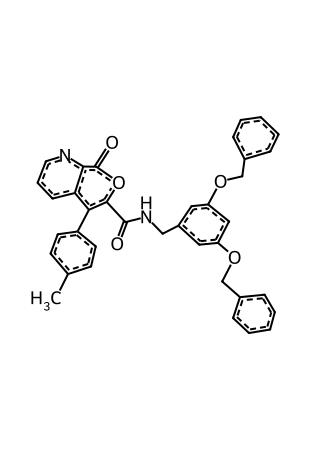 Cc1ccc(-c2c(C(=O)NCc3cc(OCc4ccccc4)cc(OCc4ccccc4)c3)oc(=O)c3ncccc23)cc1